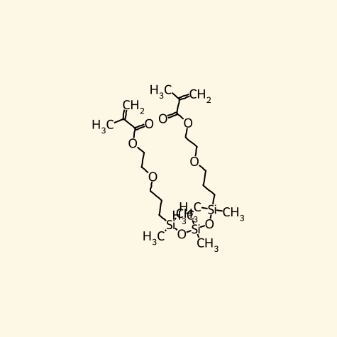 C=C(C)C(=O)OCCOCCC[Si](C)(C)O[Si](C)(C)O[Si](C)(C)CCCOCCOC(=O)C(=C)C